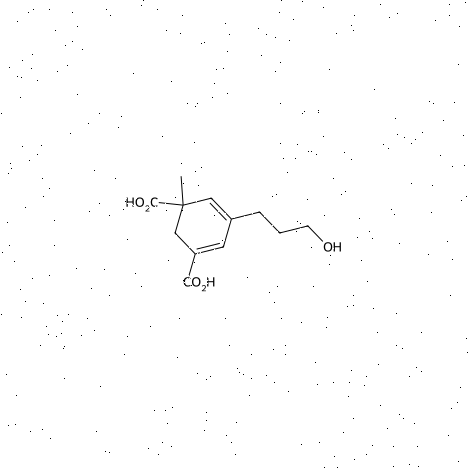 CC1(C(=O)O)C=C(CCCO)C=C(C(=O)O)C1